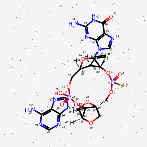 C=C[C@H]1[C@H]2OP(=O)(S)OC[C@@]34CO[C@@H]([C@H](n5cnc6c(N)ncnc65)O3)[C@@H]4OP(=O)(O)OC[C@H]1O[C@H]2n1cnc2c(=O)[nH]c(N)nc21